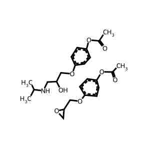 CC(=O)Oc1ccc(OCC(O)CNC(C)C)cc1.CC(=O)Oc1ccc(OCC2CO2)cc1